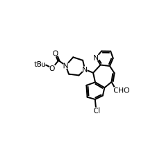 CC(C)(C)OC(=O)N1CCN(C2c3ccc(Cl)cc3C(C=O)=Cc3cccnc32)CC1